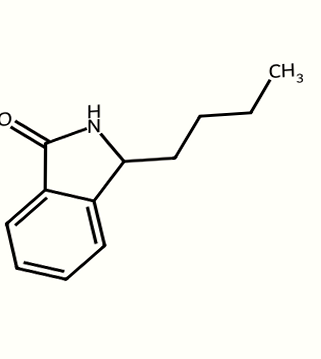 CCCCC1NC(=O)c2ccccc21